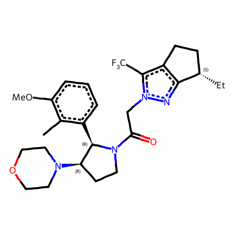 CC[C@H]1CCc2c1nn(CC(=O)N1CC[C@@H](N3CCOCC3)[C@H]1c1cccc(OC)c1C)c2C(F)(F)F